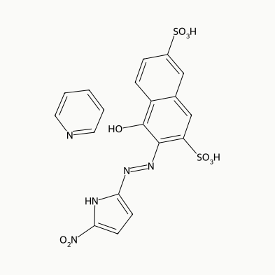 O=[N+]([O-])c1ccc(N=Nc2c(S(=O)(=O)O)cc3cc(S(=O)(=O)O)ccc3c2O)[nH]1.c1ccncc1